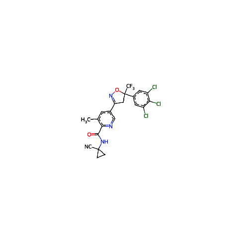 Cc1cc(C2=NOC(c3cc(Cl)c(Cl)c(Cl)c3)(C(F)(F)F)C2)cnc1C(=O)NC1(C#N)CC1